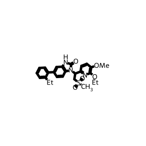 CCOc1nc(C(CS(C)(=O)=O)n2c(=O)[nH]c3cc(-c4ccccc4CC)ccc32)ccc1OC